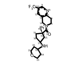 CC(C)[C@]1(C(=O)N2CCc3ncc(C(F)(F)F)cc3C2)CCC(NC2CCOCC2)C1